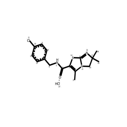 CC1=C(C(=O)NCc2ccc(Cl)cc2)SC2=NC(C)(C)CN21.Cl